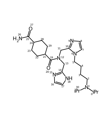 CC(C)N(CCCCn1ccnc1CN(Cc1ncc[nH]1)C(=O)C1CCC(C(N)=O)CC1)C(C)C